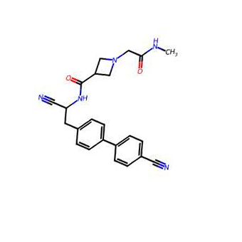 CNC(=O)CN1CC(C(=O)NC(C#N)Cc2ccc(-c3ccc(C#N)cc3)cc2)C1